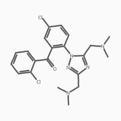 CN(C)Cc1nc(CN(C)C)n(-c2ccc(Cl)cc2C(=O)c2ccccc2Cl)n1